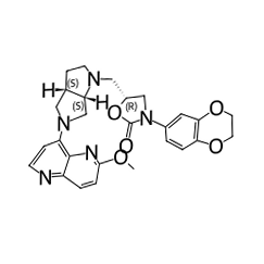 COc1ccc2nccc(N3C[C@@H]4CCN(C[C@@H]5CN(c6ccc7c(c6)OCCO7)C(=O)O5)[C@@H]4C3)c2n1